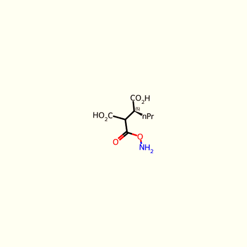 CCC[C@H](C(=O)O)C(C(=O)O)C(=O)ON